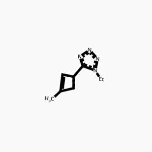 CCn1nnnc1C1C=C(C)C1